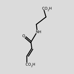 O=C(O)C=CC(=O)NCCC(=O)O